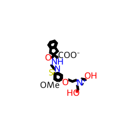 COc1cc2sc(CNC(=O)C3(CC(=O)[O-])Cc4ccccc4C3)nc2cc1OCCC[N+](C)(CCO)CCO